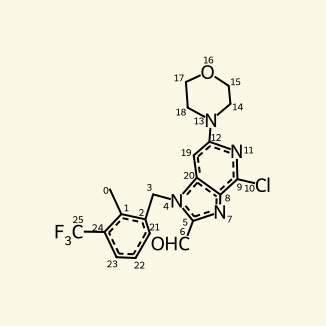 Cc1c(Cn2c(C=O)nc3c(Cl)nc(N4CCOCC4)cc32)cccc1C(F)(F)F